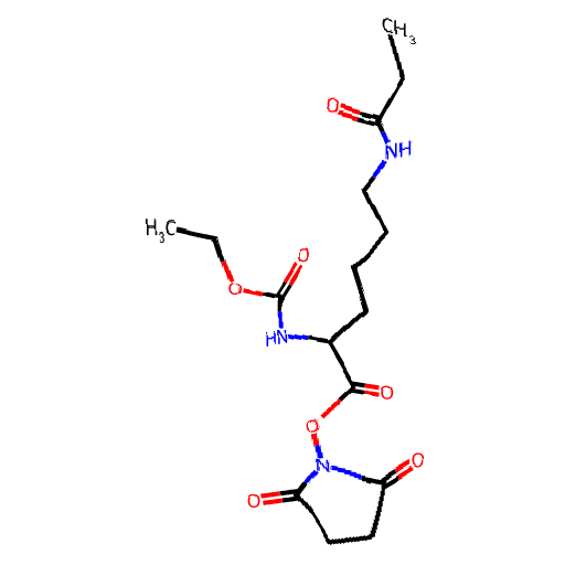 CCOC(=O)NC(CCCCNC(=O)CC)C(=O)ON1C(=O)CCC1=O